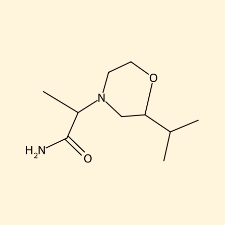 CC(C)C1CN(C(C)C(N)=O)CCO1